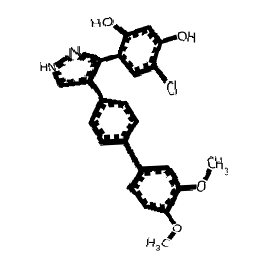 COc1ccc(-c2ccc(-c3c[nH]nc3-c3cc(Cl)c(O)cc3O)cc2)cc1OC